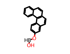 OBOc1ccc2c(ccc3ccc4ccccc4c32)c1